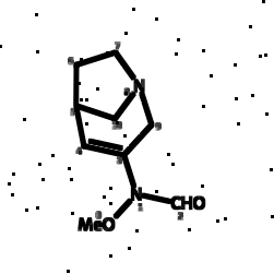 CON(C=O)C1=CC2CCN(C1)C2